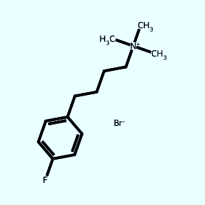 C[N+](C)(C)CCCCc1ccc(F)cc1.[Br-]